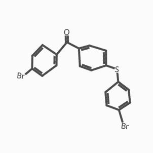 O=C(c1ccc(Br)cc1)c1ccc(Sc2ccc(Br)cc2)cc1